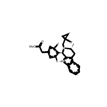 COC(=O)Cc1cc(F)c([C@@H]2c3[nH]c4ccccc4c3C[C@@H](C)N2CC2(F)CC2)c(F)c1